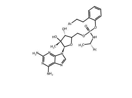 CC(=O)CCc1ccccc1OP(=O)(N[C@@H](C)C(C)=O)OCC1O[C@@H](n2cnc3c(N)nc(N)nc32)[C@](C)(O)[C@@H]1O